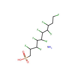 N.O=S(=O)(O)CC(F)C(F)C(F)C(F)C(F)C(F)C(F)CCF